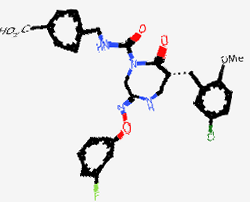 COc1ccc(Cl)cc1C[C@@H]1CN/C(=N\Oc2cccc(F)c2)CN(C(=O)NCc2ccc(C(=O)O)cc2)C1=O